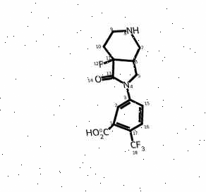 O=C(O)c1cc(N2CC3CNCCC3(F)C2=O)ccc1C(F)(F)F